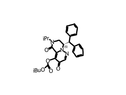 CC(C)COC(=O)Oc1c2n(ncc1=O)[C@@H](C(c1ccccc1)c1ccccc1)CN(C(C)C)C2=O